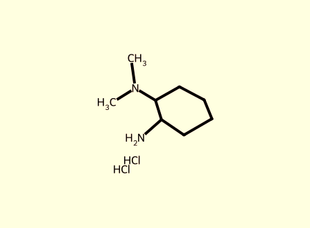 CN(C)C1CCCCC1N.Cl.Cl